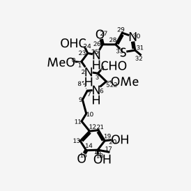 CO[C@H](NC(C=O)[C@@H](N[C@@H](C)CCCC1=CC(=O)C(C)(O)C(O)=C1)OC)C(C=O)NC(=O)c1cnc(C)s1